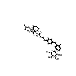 CC[C@H]1O[C@@H](c2ccc(C)c(Cc3ccc(CCCC(=O)NC4(C(N)=O)CCCCC4CCN(C)C)cc3)c2)[C@H](O)[C@@H](O)[C@@H]1O